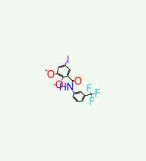 COc1cc(I)cc(C(=O)Nc2cccc(C(F)(F)F)c2)c1OC